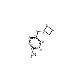 N#Cc1ccc(CC2CCC2)cc1